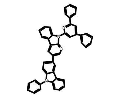 c1ccc(-c2cc(-c3ccccc3)nc(-n3c4ccccc4c4cc(-c5ccc6c(c5)c5ccccc5n6-c5ccccc5)cnc43)c2)cc1